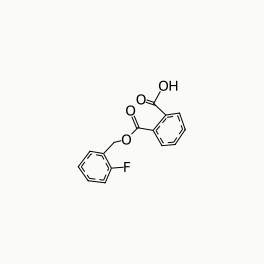 O=C(O)c1ccccc1C(=O)OCc1ccccc1F